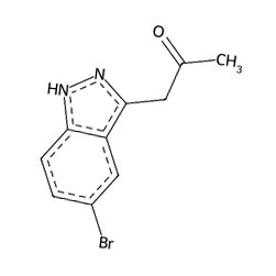 CC(=O)Cc1n[nH]c2ccc(Br)cc12